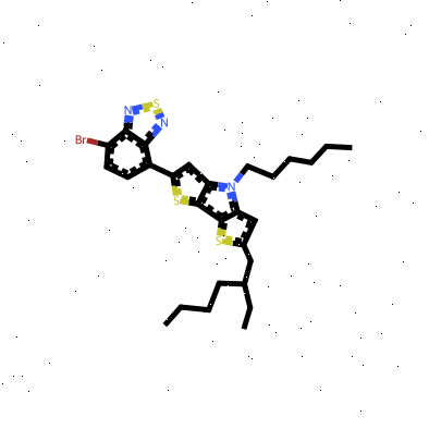 CCCCCCn1c2cc(CC(CC)CCCC)sc2c2sc(-c3ccc(Br)c4nsnc34)cc21